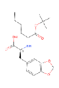 CCCCC(N[C@@H](Cc1ccc2c(c1)OCO2)C(=O)O)C(=O)OC(C)(C)C